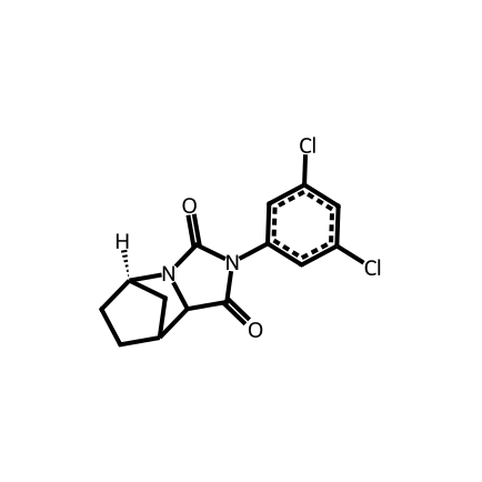 O=C1C2C3CC[C@H](C3)N2C(=O)N1c1cc(Cl)cc(Cl)c1